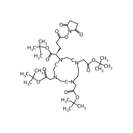 CC(C)(C)OC(=O)CN1CCN(CC(=O)OC(C)(C)C)CCN([C@H](CCC(=O)ON2C(=O)CCC2=O)C(=O)OC(C)(C)C)CCN(CC(=O)OC(C)(C)C)CC1